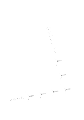 O=C([O-])[O-].O=C([O-])[O-].O=C([O-])[O-].O=C([O-])[O-].O=C([O-])[O-].O=C([O-])[O-].[N-3].[N-3].[N-3].[N-3].[N-3].[N-3].[W+6].[W+6].[W+6].[W+6].[W+6]